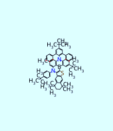 Cc1cc2c3c(c1)N(c1ccc(C(C)(C)C)cc1)c1c(sc4cc5c(cc14)C(C)(C)CCC5(C)C)B3c1cc(C(C)(C)C)ccc1N2c1c(-c2ccccc2)cc(C(C)(C)C)cc1-c1ccccc1